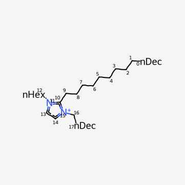 CCCCCCCCCCCCCCCCCCCc1n(CCCCCC)cc[n+]1CCCCCCCCCCC